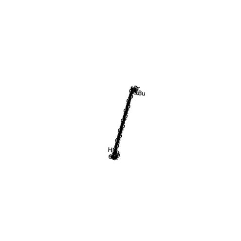 CCCN(OCCOCCOCCOCCOCCOCCOCCOCCOCCOCCOCCOCCNC(=O)CN1C(=O)C=CC1=O)C(=O)OC(C)(C)C